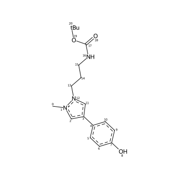 C[n+]1cc(-c2ccc(O)cc2)cn1CCCNC(=O)OC(C)(C)C